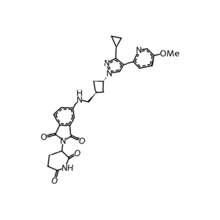 COc1ccc(-c2cn([C@H]3C[C@H](CNc4ccc5c(c4)C(=O)N(C4CCC(=O)NC4=O)C5=O)C3)nc2C2CC2)nc1